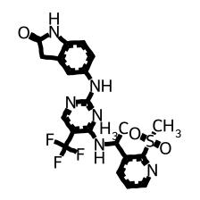 CC(Nc1nc(Nc2ccc3c(c2)CC(=O)N3)ncc1C(F)(F)F)c1cccnc1S(C)(=O)=O